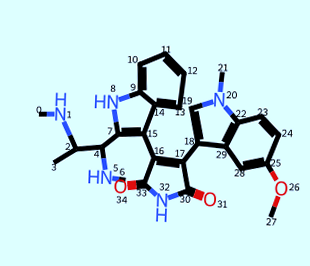 CNC(C)C(NC)c1[nH]c2ccccc2c1C1=C(c2cn(C)c3ccc(OC)cc23)C(=O)NC1=O